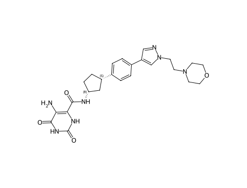 Nc1c(C(=O)N[C@@H]2CC[C@H](c3ccc(-c4cnn(CCN5CCOCC5)c4)cc3)C2)[nH]c(=O)[nH]c1=O